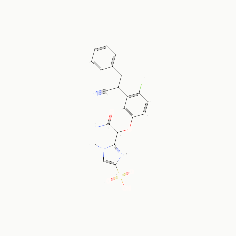 Cn1cc(S(=O)(=O)O)nc1C(Oc1ccc(F)c(C(C#N)Cc2ccccc2)c1)C(N)=O